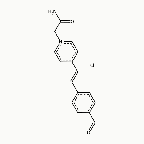 NC(=O)C[n+]1ccc(C=Cc2ccc(C=O)cc2)cc1.[Cl-]